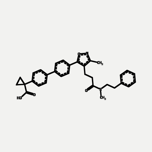 Cc1noc(-c2ccc(-c3ccc(C4(C(=O)O)CC4)cc3)cc2)c1CCC(=O)N(C)CCc1ccccc1